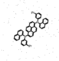 CC(C)c1cccc(N(c2cccc3ccccc23)c2ccc3ccc4c(N(c5cccc(C(C)C)c5)c5cccc6ccccc56)ccc5ccc2c3c54)c1